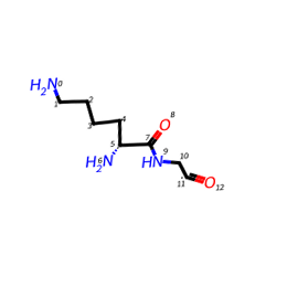 NCCCC[C@@H](N)C(=O)NC[C]=O